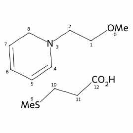 COCCN1C=CC=CC1.CSCCC(=O)O